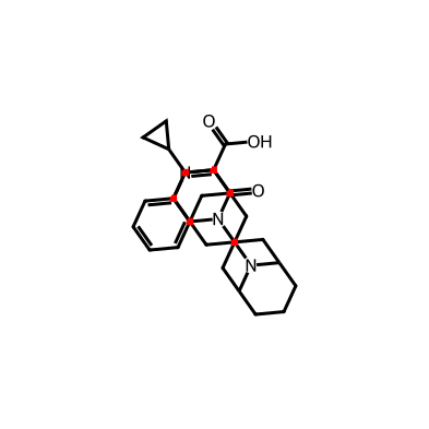 O=C(O)c1nc2ccccc2n(C2CC3CCCC(C2)N3C2CC3CC(CC(C4CC4)C3)C2)c1=O